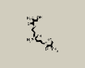 C=C(CO)C(=O)OCCC[Si](C)(C)CCCOC(=O)C(=C)CO